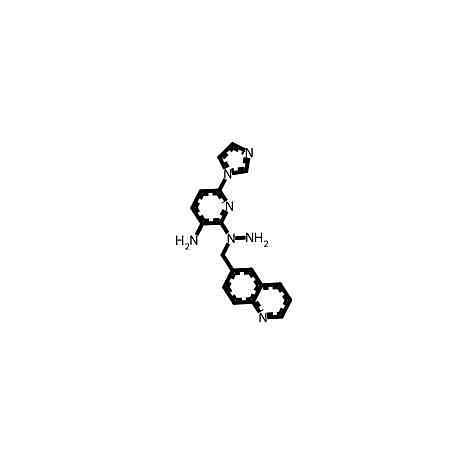 Nc1ccc(-n2ccnc2)nc1N(N)Cc1ccc2ncccc2c1